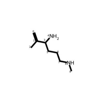 C=C(C)C(N)CCCNC